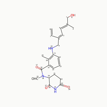 C=C/C(=C\C=C(/C)CO)CNc1cccc(C(=O)N(C=O)C2CCC(=O)NC2=O)c1C